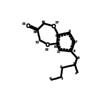 CCCC(C)Cc1ccc2c(c1)OCC(=O)CO2